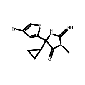 CN1C(=N)NC(c2cc(Br)cs2)(C2CC2)C1=O